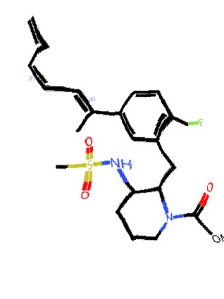 C=C/C=C\C=C(/C)c1ccc(F)c(CC2C(NS(C)(=O)=O)CCCN2C(=O)OC)c1